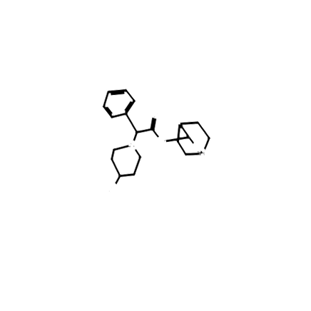 CC1CCN(C(C(=O)OC2CN3CCC2CC3)c2ccccc2)CC1